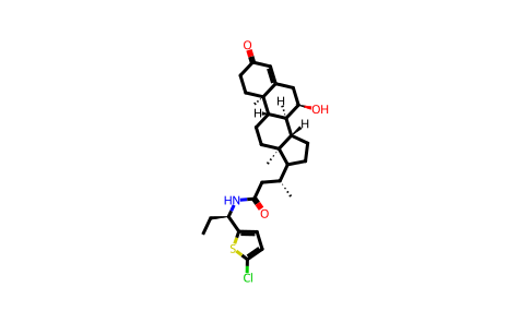 CC[C@@H](NC(=O)C[C@@H](C)C1CC[C@H]2[C@@H]3[C@H](O)CC4=CC(=O)CC[C@]4(C)[C@H]3CC[C@]12C)c1ccc(Cl)s1